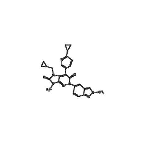 Cn1cc2cc(-n3nc4c(c(-c5ccc(C6CC6)nc5)c3=O)n(CC3CC3)c(=O)n4C)ccc2n1